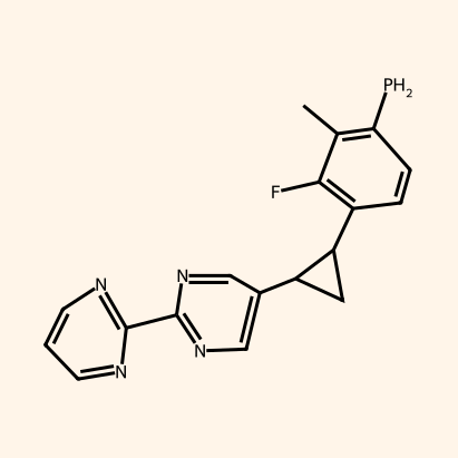 Cc1c(P)ccc(C2CC2c2cnc(-c3ncccn3)nc2)c1F